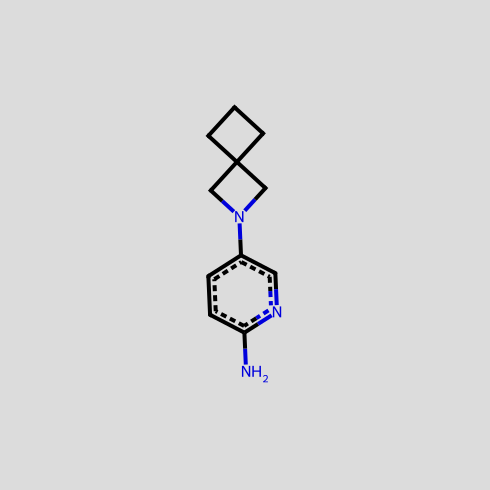 Nc1ccc(N2CC3(CCC3)C2)cn1